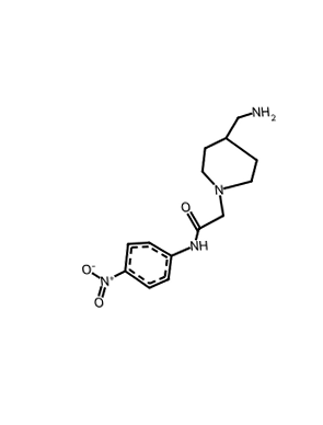 NCC1CCN(CC(=O)Nc2ccc([N+](=O)[O-])cc2)CC1